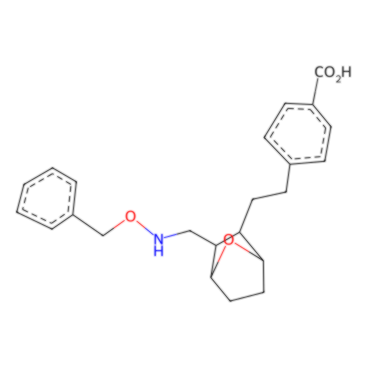 O=C(O)c1ccc(CCC2C3CCC(O3)C2CNOCc2ccccc2)cc1